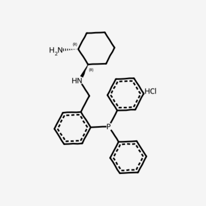 Cl.N[C@@H]1CCCC[C@H]1NCc1ccccc1P(c1ccccc1)c1ccccc1